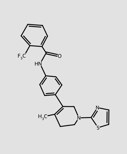 CC1=C(c2ccc(NC(=O)c3ccccc3C(F)(F)F)cc2)CN(c2nccs2)CC1